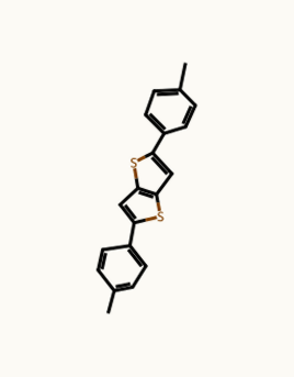 Cc1ccc(-c2cc3sc(-c4ccc(C)cc4)cc3s2)cc1